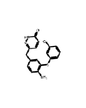 Nc1ccc(Cc2ccc(=O)[nH]n2)cc1Sc1cccc(Cl)c1